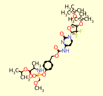 COCP(=O)(NC(C)C(=O)OC(C)C)Oc1ccc(COC(=O)Nc2ccn([C@@H]3O[C@H](CO[Si](C)(C)C)[C@@H](O[Si](C)(C)C)C3(F)F)c(=O)n2)cc1